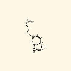 COCC=Cc1ccc(O)c(OC)c1